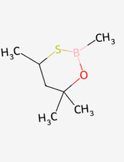 CB1OC(C)(C)CC(C)S1